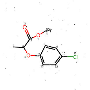 CC(C)OC(=O)C(C)Oc1ccc(Cl)cc1